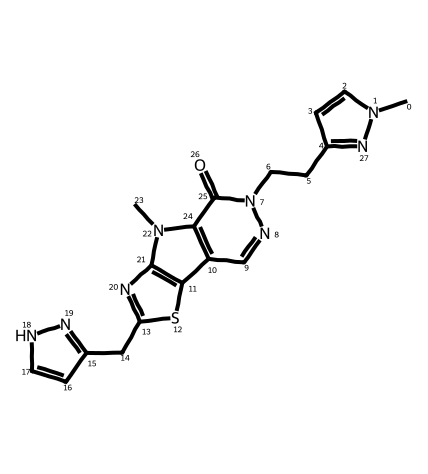 Cn1ccc(CCn2ncc3c4sc(Cc5cc[nH]n5)nc4n(C)c3c2=O)n1